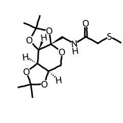 CSCC(=O)NC[C@@]12OC[C@H]3OC(C)(C)O[C@H]3[C@@H]1OC(C)(C)O2